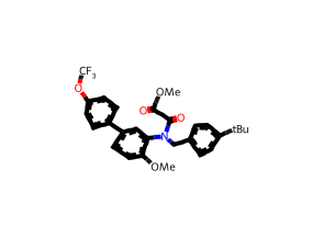 COC(=O)C(=O)N(Cc1ccc(C(C)(C)C)cc1)c1cc(-c2ccc(OC(F)(F)F)cc2)ccc1OC